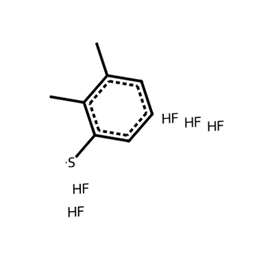 Cc1cccc([S])c1C.F.F.F.F.F